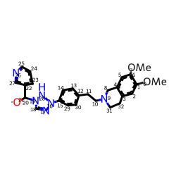 COc1cc2c(cc1OC)CN(CCc1ccc(N3N=CN(C([O])c4cccnc4)N3)cc1)CC2